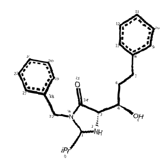 CC(C)C1N[C@@H]([C@H](O)CCc2ccccc2)C(=O)N1Cc1ccccc1